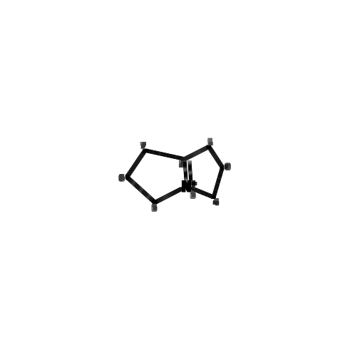 C1CC2=[N+](C1)CCC2